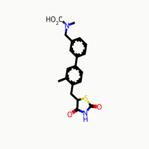 Cc1cc(-c2cccc(CN(C)C(=O)O)c2)ccc1CC1SC(=O)NC1=O